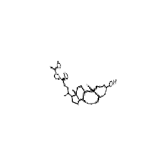 COC(C)OC(=O)CCC(C)C1CCC2C3CCC4CC(O)CCC4(C)C3CCC12C